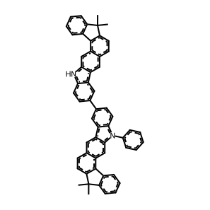 CC1(C)c2ccccc2-c2c1ccc1cc3c(cc21)[nH]c1ccc(-c2ccc4c(c2)c2cc5ccc6c(c5cc2n4-c2ccccc2)-c2ccccc2C6(C)C)cc13